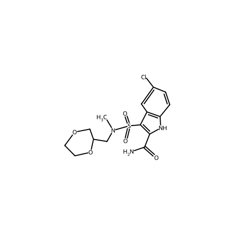 CN(CC1COCCO1)S(=O)(=O)c1c(C(N)=O)[nH]c2ccc(Cl)cc12